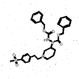 CS(=O)(=O)c1ccc(CCN2CCCC(N(NC(=O)OCc3ccccc3)C(=O)OCc3ccccc3)C2)cc1